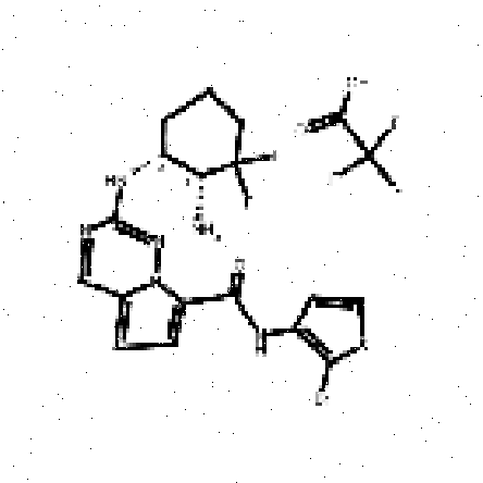 N[C@@H]1[C@H](Nc2ncc3ccc(C(=O)Nc4ccsc4Br)n3n2)CCCC1(F)F.O=C(O)C(F)(F)F